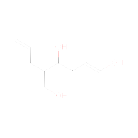 C=CCC(CO)C(O)CC=CO